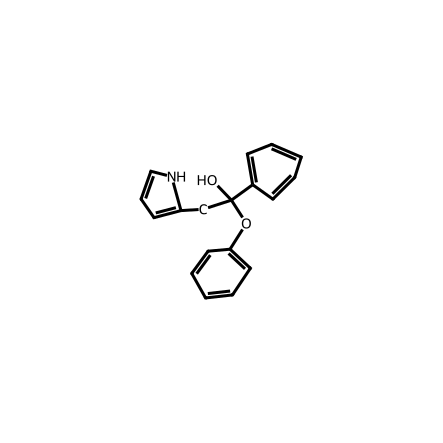 OC(Cc1ccc[nH]1)(Oc1ccccc1)c1ccccc1